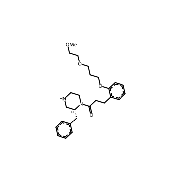 COCCOCCCOc1ccccc1CCC(=O)N1CCNC[C@H]1Cc1ccccc1